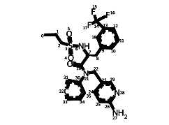 CCCS(=O)(=O)N[C@@H](Cc1cccc(C(F)(F)F)c1)C(=O)N(Cc1ccc(N)nc1)c1ccccc1